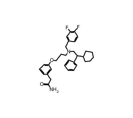 NC(=O)Cc1cccc(OCCCN(Cc2ccc(F)c(F)c2)CC(c2ccccc2)C2CCCCC2)c1